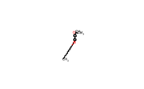 CCCCCCCCCCCCCCCCCCOc1ccc(-c2ccc(C(=O)[C@@H](C)CC)cc2)cc1